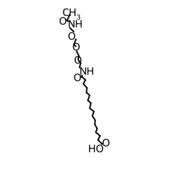 CCC(=O)NCCOCCOCCOCCNC(=O)CCCCCCCCCCCCCCCCC(=O)O